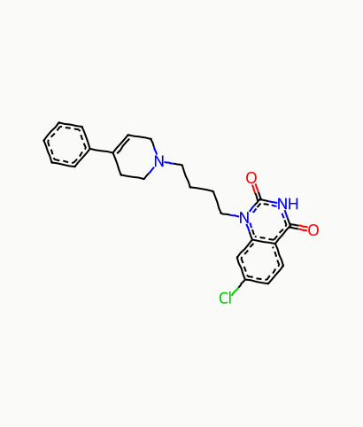 O=c1[nH]c(=O)n(CCCCN2CC=C(c3ccccc3)CC2)c2cc(Cl)ccc12